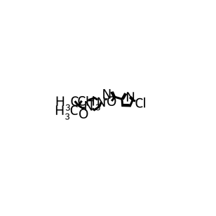 CC(C)(C)C(=O)N1CCN(c2ncc(-c3ccc(Cl)nc3)o2)CC1